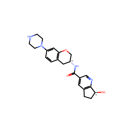 O=C(N[C@H]1COc2cc(N3CCNCC3)ccc2C1)c1cnc2c(c1)CC[C@@H]2O